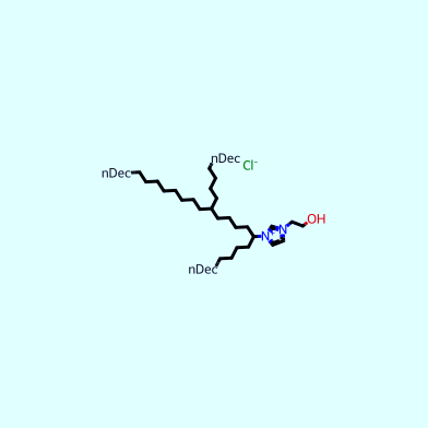 CCCCCCCCCCCCCCCCCCC(CCCCCCCCCCCCCC)CCCCC(CCCCCCCCCCCCCC)[n+]1ccn(CCO)c1.[Cl-]